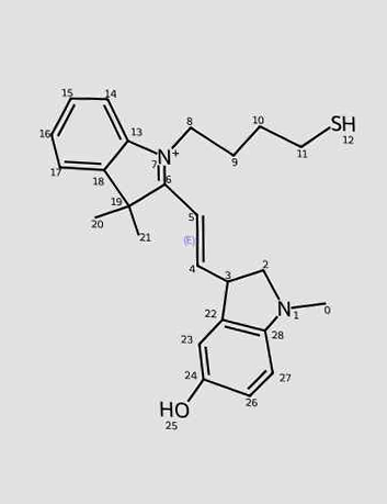 CN1CC(/C=C/C2=[N+](CCCCS)c3ccccc3C2(C)C)c2cc(O)ccc21